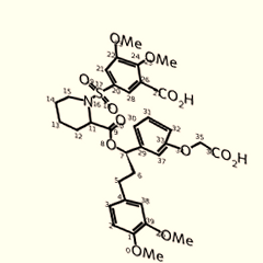 COc1ccc(CC[C@@H](OC(=O)C2CCCCN2S(=O)(=O)c2cc(OC)c(OC)c(C(=O)O)c2)c2cccc(OCC(=O)O)c2)cc1OC